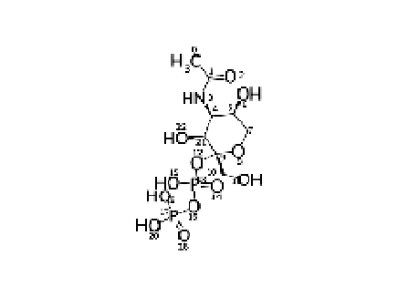 CC(=O)N[C@H]1[C@@H](O)CO[C@](CO)(OP(=O)(O)OP(=O)(O)O)[C@H]1O